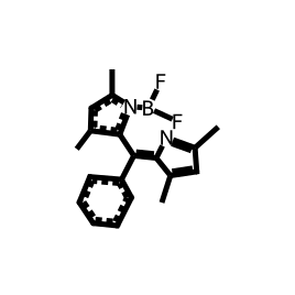 CC1=CC(C)=N/C1=C(/c1ccccc1)c1c(C)cc(C)n1B(F)F